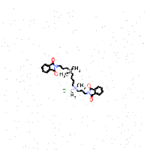 C[N+](C)(CCCC[Si](C)(C)CCCN1C(=O)c2ccccc2C1=O)CCCN1C(=O)c2ccccc2C1=O.[Cl-]